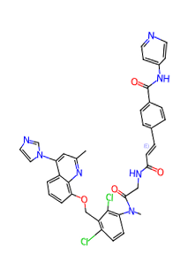 Cc1cc(-n2ccnc2)c2cccc(OCc3c(Cl)ccc(N(C)C(=O)CNC(=O)/C=C/c4ccc(C(=O)Nc5ccncc5)cc4)c3Cl)c2n1